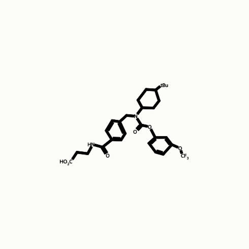 CC(C)(C)C1CCC(N(Cc2ccc(C(=O)NCCC(=O)O)cc2)C(=O)Oc2cccc(OC(F)(F)F)c2)CC1